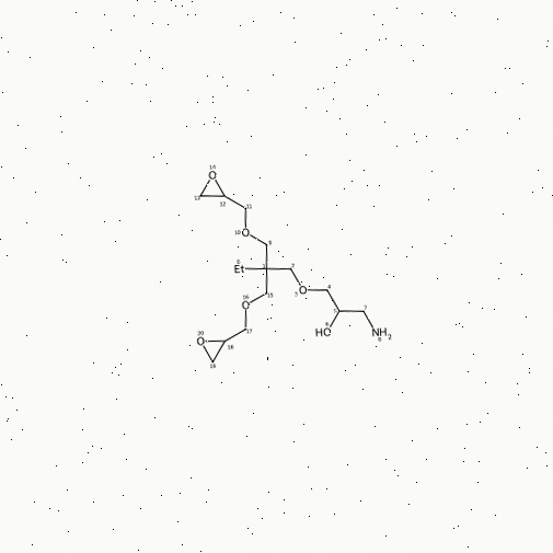 CCC(COCC(O)CN)(COCC1CO1)COCC1CO1